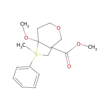 COC(=O)CCS(C)(c1ccccc1)C1(OC)CCOCC1